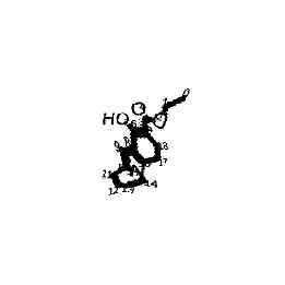 CCOC(=O)C1=C(O)c2cc3ccccn3c2CC1